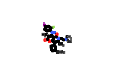 CC(=O)Nc1cccc(-c2c(C)n(CCN(C)C(C)=O)c(=O)c3c(Nc4ccc(I)cc4F)c(C)c(=O)oc23)c1